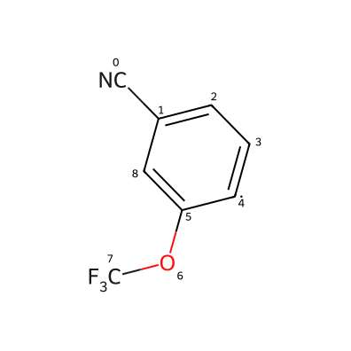 N#Cc1cc[c]c(OC(F)(F)F)c1